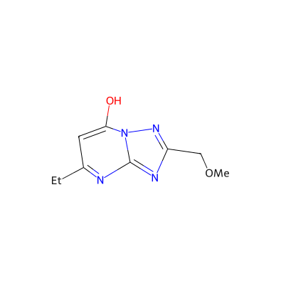 CCc1cc(O)n2nc(COC)nc2n1